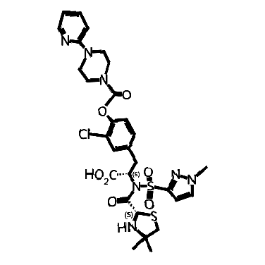 Cn1ccc(S(=O)(=O)N(C(=O)[C@H]2NC(C)(C)CS2)[C@@H](Cc2ccc(OC(=O)N3CCN(c4ccccn4)CC3)c(Cl)c2)C(=O)O)n1